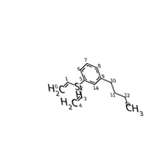 C=C[SiH](C=C)c1cccc(CCCC)c1